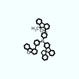 CC1(C)c2ccccc2-c2cccc(-c3ccc(N(c4cccc(-c5cccc6oc7ccccc7c56)c4)c4ccc5c(c4)C4(CCc6ccccc64)c4ccccc4-5)cc3)c21